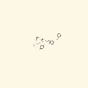 N=C(N)NCCC[C@H](C(=O)NCC(=O)O)N(Cc1ccc(O)cc1)C(=O)c1cc2cc(OCCc3ccccc3)ccc2[nH]1